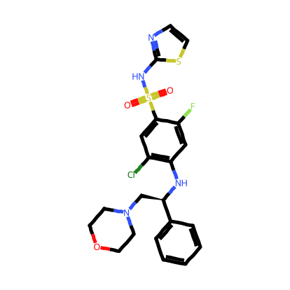 O=S(=O)(Nc1nccs1)c1cc(Cl)c(N[C@H](CN2CCOCC2)c2ccccc2)cc1F